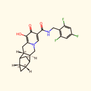 O=C(NCc1c(F)cc(F)cc1F)c1cn2c(c(O)c1=O)C[C@H]1C3CC([C@@H]4C[C@H]34)[C@@H]1C2